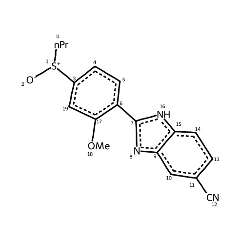 CCC[S+]([O-])c1ccc(-c2nc3cc(C#N)ccc3[nH]2)c(OC)c1